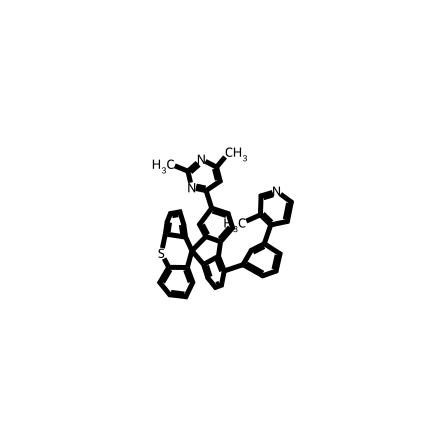 Cc1cc(-c2ccc3c(c2)C2(c4ccccc4Sc4ccccc42)c2cccc(-c4cccc(-c5ccncc5C)c4)c2-3)nc(C)n1